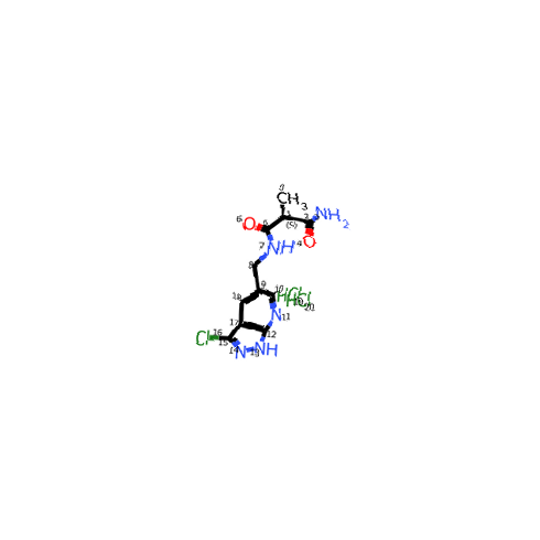 C[C@@H](C(N)=O)C(=O)NCc1cnc2[nH]nc(Cl)c2c1.Cl.Cl